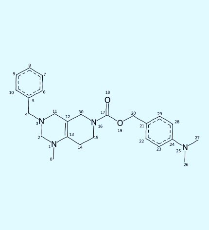 CN1CN(Cc2ccccc2)CC2=C1CCN(C(=O)OCc1ccc(N(C)C)cc1)C2